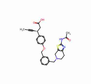 CC#C[C@@H](CC(=O)O)c1ccc(OCc2cccc(CN3CCc4nc(NC(C)=O)sc4C3)c2)cc1